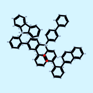 c1ccc(-c2ccc(N(c3ccc(-c4ccccc4-c4ccc5ccccc5c4)cc3)c3ccc(-c4ccccc4-n4c5ccccc5c5ccccc54)cc3-c3ccccc3)cc2)cc1